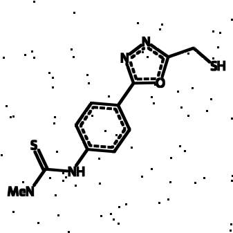 CNC(=S)Nc1ccc(-c2nnc(CS)o2)cc1